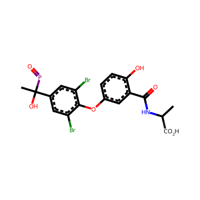 CC(NC(=O)c1cc(Oc2c(Br)cc(C(C)(O)P=O)cc2Br)ccc1O)C(=O)O